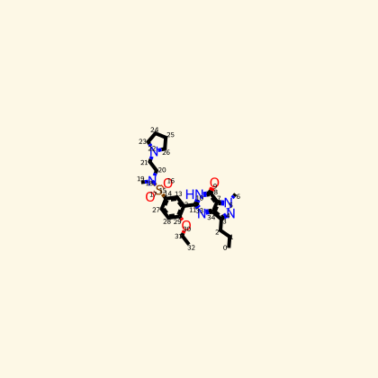 CCCc1nn(C)c2c(=O)[nH]c(-c3cc(S(=O)(=O)N(C)CCN4CCCC4)ccc3OCC)nc12